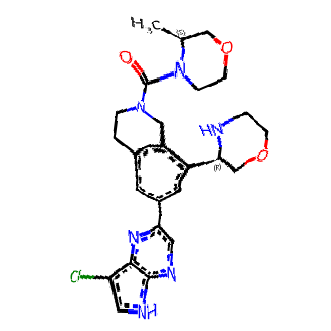 C[C@H]1COCCN1C(=O)N1CCc2cc(-c3cnc4[nH]cc(Cl)c4n3)cc([C@@H]3COCCN3)c2C1